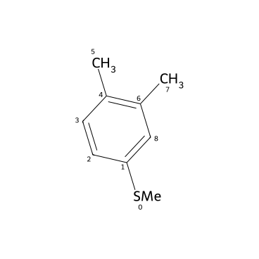 CSc1ccc(C)c(C)c1